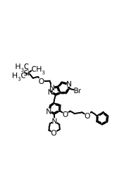 C[Si](C)(C)CCOCn1nc(-c2cnc(N3CCOCC3)c(OCCCOCc3ccccc3)c2)c2cc(Br)ncc21